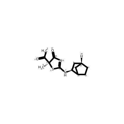 CC(=O)[C@]1(C)SC(N[C@H]2C[C@@H]3CCC2C3)=NC1=O